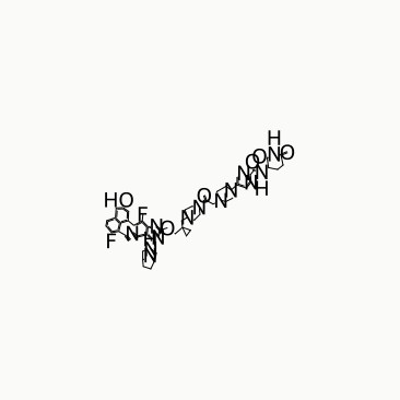 C#Cc1c(F)ccc2cc(O)cc(-c3ncc4c(N5CC6CCC(C5)N6)nc(OCC5(CN6CCN(C(=O)CN7CCN(c8cnc(C(=O)NC9CCC(=O)NC9=O)nc8)CC7)CC6)CC5)nc4c3F)c12